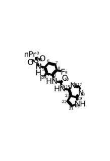 CCCS(=O)(=O)Nc1ccc(F)c(NC(=O)Nc2ncnc3[nH]ccc23)c1F